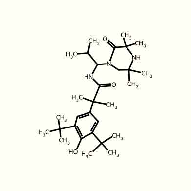 CC(C)C(NC(=O)C(C)(C)c1cc(C(C)(C)C)c(O)c(C(C)(C)C)c1)N1CC(C)(C)NC(C)(C)C1=O